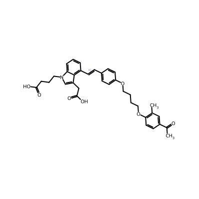 CC(=O)c1ccc(OCCCCOc2ccc(/C=C/c3cccc4c3c(CC(=O)O)cn4CCCC(=O)O)cc2)c(C)c1